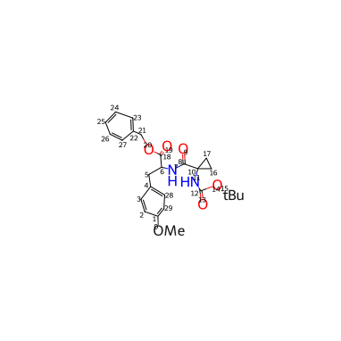 COc1ccc(CC(NC(=O)C2(NC(=O)OC(C)(C)C)CC2)C(=O)OCc2ccccc2)cc1